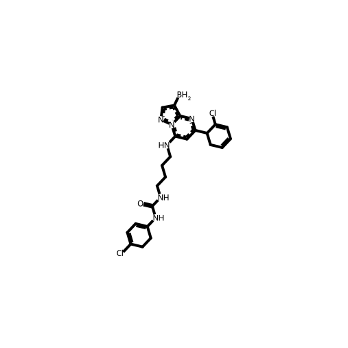 Bc1cnn2c(NCCCCNC(=O)NC3=CC=C(Cl)CC3)cc(C3CC=CC=C3Cl)nc12